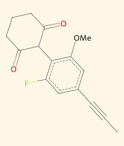 CC#Cc1cc(F)c(C2C(=O)CCCC2=O)c(OC)c1